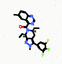 CC[C@H]1Cc2c(nn(C)c2-c2cc(F)c(F)c(F)c2)[C@@H](CC)N1C(=O)c1ncnc2ccc(C)cc12